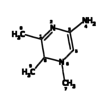 CC1=NC(N)=CN(C)C1C